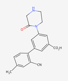 Cc1ccc(-c2cc(C(=O)O)cc(N3CCNCC3=O)c2)c(C#N)c1